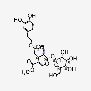 C/C=C1/[C@H](O[C@@H]2O[C@H](CO)[C@@H](O)[C@H](O)[C@H]2O)OC=C(C(=O)OC)[C@H]1CC(O)OCCc1ccc(O)c(O)c1